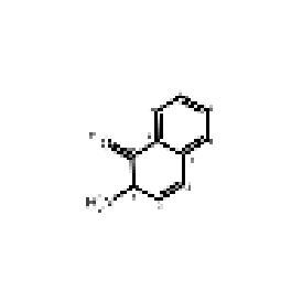 NC1C=Cc2ccccc2C1=O